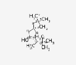 CC(C1CC(CC(C)(C)C)CC1O)C(C)(C)C